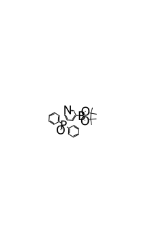 CC1(C)OB(c2cncc(P(=O)(c3ccccc3)c3ccccc3)c2)OC1(C)C